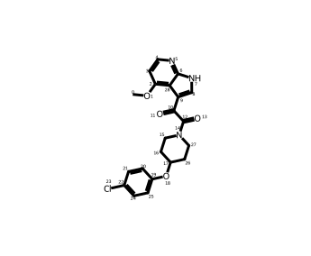 COc1ccnc2[nH]cc(C(=O)C(=O)N3CCC(Oc4ccc(Cl)cc4)CC3)c12